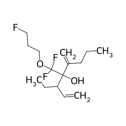 C=CC(CC)C(O)(C(=C)CCC)C(F)(F)OCCCF